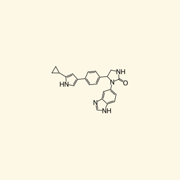 O=C1NCC(c2ccc(-c3c[nH]c(C4CC4)c3)cc2)N1c1ccc2[nH]cnc2c1